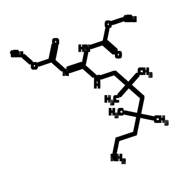 CC(C)(CCN)CC(C)(C)CN/C(=N/C(=O)OC(C)(C)C)NC(=O)OC(C)(C)C